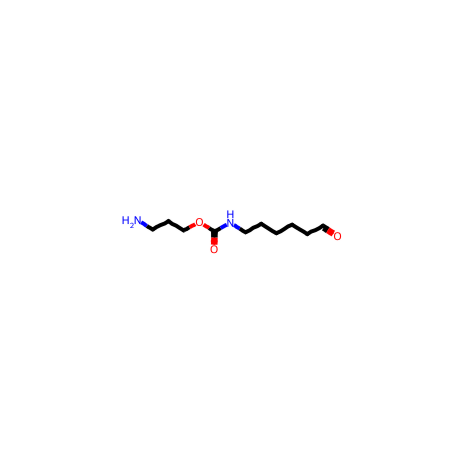 NCCCOC(=O)NCCCCCC=O